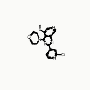 COc1cncc2nc(-c3ccnc(Cl)c3)nc(N3CCOCC3)c12